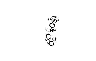 O=C(Nc1ccc(S(=O)(=O)C(F)(F)F)cc1)C1=CCC(F)(c2ncccc2Cl)CC1